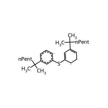 CCCCCC(C)(C)C1=CC[CH]C(Sc2[c]ccc(C(C)(C)CCCCC)c2)=C1